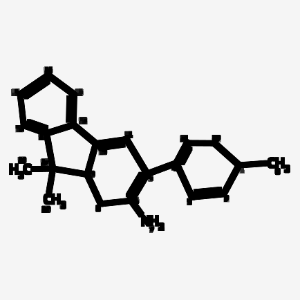 CC1C=CC(C2=C(N)CC3C(=C2)c2ccccc2C3(C)C)=CC1